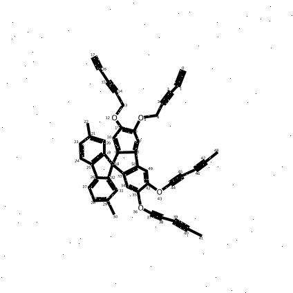 C#CC#CCOc1cc2c(cc1OCC#CC#C)C1(c3cc(C)ccc3-c3ccc(C)cc31)c1cc(OC#CC#CC)c(OC#CC#CC)cc1-2